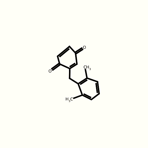 Cc1cccc(C)c1CC1=CC(=O)C=CC1=O